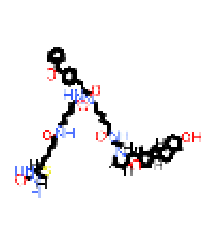 CC1=C2C[C@H]3[C@@H](CC=C4C[C@@H](O)CC[C@@]43C)[C@@H]2CCC12O[C@@H]1C[C@H](C)CN(CCNC(=O)CCCCCNC(=O)[C@H](Cc3ccc(C(=O)c4ccccc4)cc3)NC(=O)CCCCCNC(=O)CCCCC3SC[C@@H]4NC(=O)N[C@H]34)[C@H]1[C@H]2C